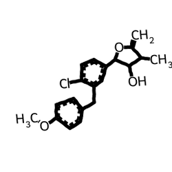 C=C1OC(c2ccc(Cl)c(Cc3ccc(OC)cc3)c2)C(O)C1C